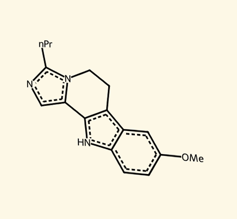 CCCc1ncc2n1CCc1c-2[nH]c2ccc(OC)cc12